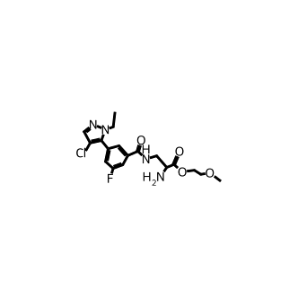 CCn1ncc(Cl)c1-c1cc(F)cc(C(=O)NCC(N)C(=O)OCCOC)c1